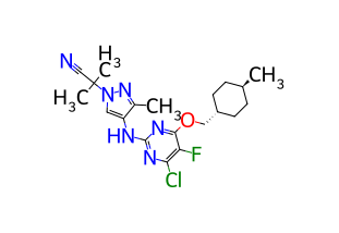 Cc1nn(C(C)(C)C#N)cc1Nc1nc(Cl)c(F)c(OC[C@H]2CC[C@H](C)CC2)n1